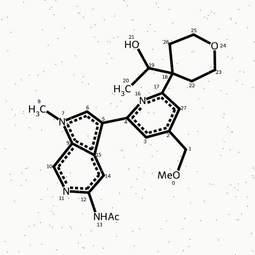 COCc1cc(-c2cn(C)c3cnc(NC(C)=O)cc23)nc(C2(C(C)O)CCOCC2)c1